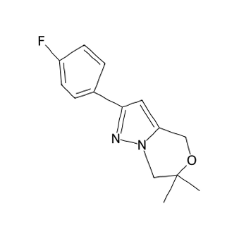 CC1(C)Cn2nc(-c3ccc(F)cc3)cc2CO1